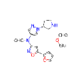 CC(C)(C)OC=O.O=CN(c1cnn(C2CCNC2)c1)c1cc(-c2ccco2)on1